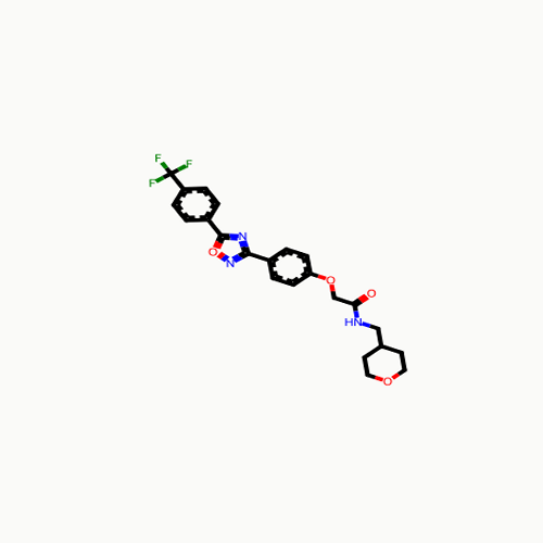 O=C(COc1ccc(-c2noc(-c3ccc(C(F)(F)F)cc3)n2)cc1)NCC1CCOCC1